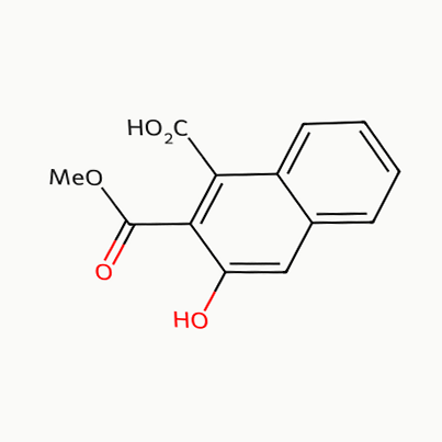 COC(=O)c1c(O)cc2ccccc2c1C(=O)O